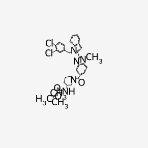 Cn1c(-c2cc3ccccc3n2Cc2ccc(Cl)c(Cl)c2)nc2cc(C(=O)N3CCCC(NC(=O)OC(C)(C)C)C3)ccc21